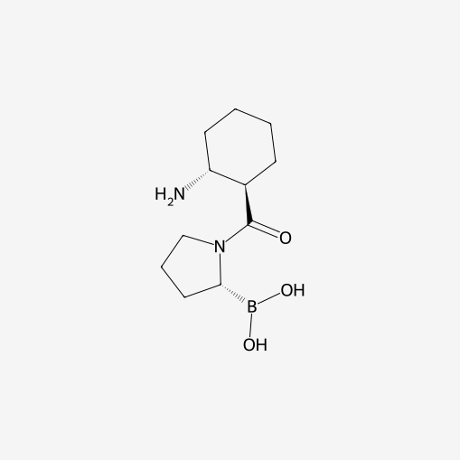 N[C@@H]1CCCC[C@H]1C(=O)N1CCC[C@H]1B(O)O